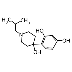 C[C](C)CN1CCC(O)(c2ccc(O)cc2O)CC1